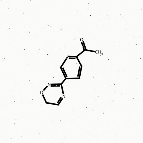 CC(=O)c1ccc(C2=NOCC=N2)cc1